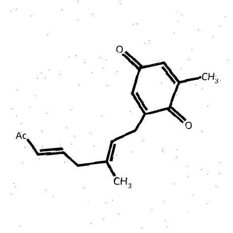 CC(=O)/C=C/C/C(C)=C/CC1=CC(=O)C=C(C)C1=O